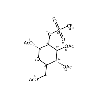 CC(=O)OCC1O[C@H](OC(C)=O)C(OS(=O)(=O)C(F)(F)F)C(OC(C)=O)[C@@H]1OC(C)=O